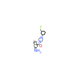 CC(C)[C@]1(C(=O)N2CCN(c3cccc(CF)c3)CC2)CC[C@@H](N)C1